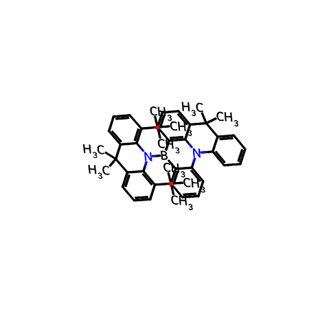 CC(C)(C)c1cccc2c1N(B1c3ccccc3N3c4ccccc4C(C)(C)c4cccc1c43)c1c(C(C)(C)C)cccc1C2(C)C